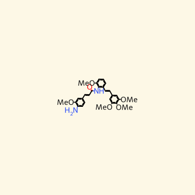 COc1cc(/C=C/C(=O)Nc2c(C=Cc3cc(OC)c(OC)c(OC)c3)cccc2OC)ccc1N